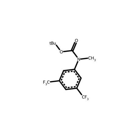 CN(C(=O)OC(C)(C)C)c1cc(C(F)(F)F)cc(C(F)(F)F)c1